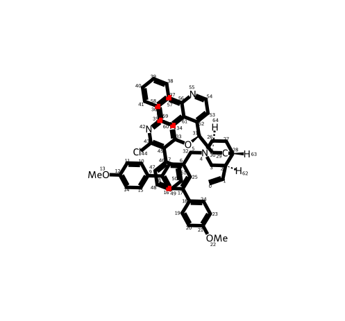 C=C[C@H]1C[N+]2(Cc3cc(-c4ccc(OC)cc4)cc(-c4ccc(OC)cc4)c3)CC[C@H]1C[C@@H]2[C@@H](Oc1nc(-c2ccccc2)nc(Cl)c1-c1ccccc1)c1ccnc2ccccc12